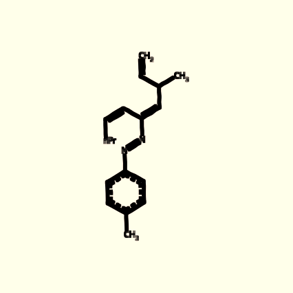 C=CC(C)/C=C(\C=C/CCC)N=Nc1ccc(C)cc1